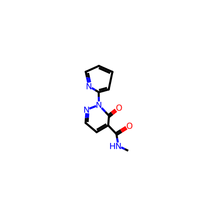 CNC(=O)c1ccnn(-c2ccccn2)c1=O